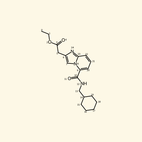 CCOC(=O)Cc1cn2c(C(=O)NCC3CCCCC3)cccc2n1